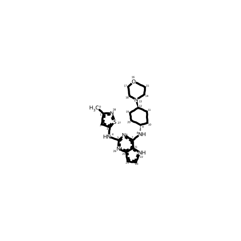 Cc1cc(Nc2nc(N[C@H]3CC[C@H](N4CCOCC4)CC3)c3[nH]ccc3n2)sn1